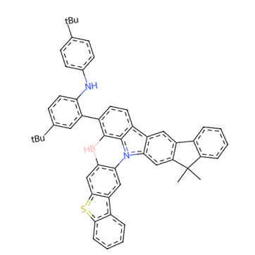 CC(C)(C)c1ccc(Nc2ccc(C(C)(C)C)cc2-c2ccc3c4cc5c(cc4n4c3c2Bc2cc3sc6ccccc6c3cc2-4)C(C)(C)c2ccccc2-5)cc1